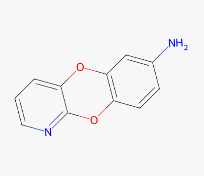 Nc1ccc2c(c1)Oc1cccnc1O2